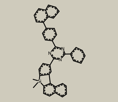 C[Si]1(C)c2ccc(-c3nc(-c4ccccc4)nc(-c4ccc(-c5cccc6ccccc56)cc4)n3)cc2-c2c1ccc1ccccc21